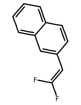 FC(F)=Cc1ccc2ccccc2c1